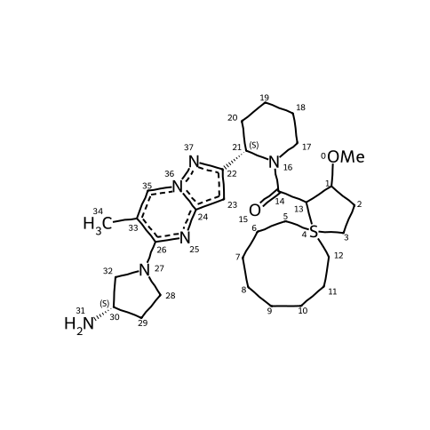 COC1CCS2(CCCCCCCC2)C1C(=O)N1CCCC[C@H]1c1cc2nc(N3CC[C@H](N)C3)c(C)cn2n1